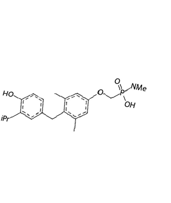 CNP(=O)(O)COc1cc(C)c(Cc2ccc(O)c(C(C)C)c2)c(C)c1